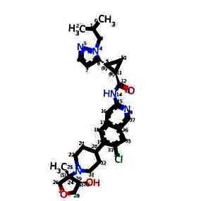 CC(C)Cn1nccc1[C@@H]1C[C@H]1C(=O)Nc1cc2cc(C3CCN([C@@]4(C)COC[C@H]4O)CC3)c(Cl)cc2cn1